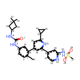 Cc1ccc(NC(=O)NC2CC(C)(C)C2)cc1-c1cc(-c2ccnc(NS(C)(=O)=O)c2)nc(C2CC2)c1